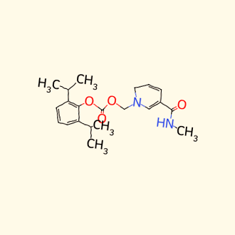 CNC(=O)C1=CN(COC(=O)Oc2c(C(C)C)cccc2C(C)C)CC=C1